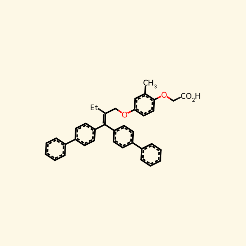 CCC(COc1ccc(OCC(=O)O)c(C)c1)=C(c1ccc(-c2ccccc2)cc1)c1ccc(-c2ccccc2)cc1